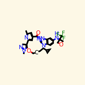 Cc1cc2cc(n1)-c1cnn(C)c1OCCCC(C1CC1)N1/C(=N/C2=O)Nc2cc(NC3(C(F)(F)F)COC3)ccc21